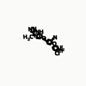 C=C(c1cncnc1)n1ccc(OCc2ccc(Oc3ccc(Cl)c(C(F)(F)F)c3)c(C#N)c2)nc1=N